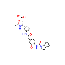 COc1cc(CC(=O)Nc2cccc(C(CCC(=O)O)NC(C)=O)c2)ccc1NC(=O)N1CCc2ccccc21